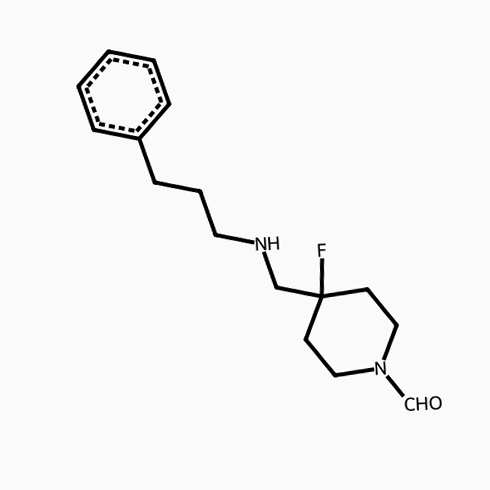 O=CN1CCC(F)(CNCCCc2ccccc2)CC1